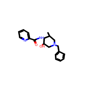 CC1CN(Cc2ccccc2)CC(O)C1NC(=O)c1ccccn1